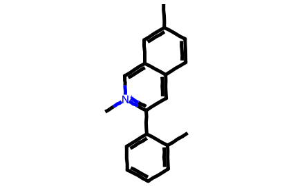 Cc1ccc2cc(-c3ccccc3C)[n+](C)cc2c1